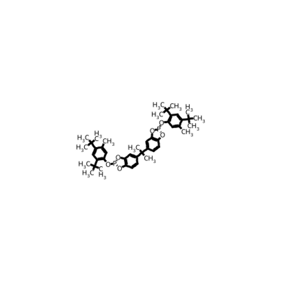 Cc1cc(OP2Oc3ccc(C(C)(C)c4ccc5c(c4)OP(Oc4cc(C)c(C(C)(C)C)cc4C(C)(C)C)O5)cc3O2)c(C(C)(C)C)cc1C(C)(C)C